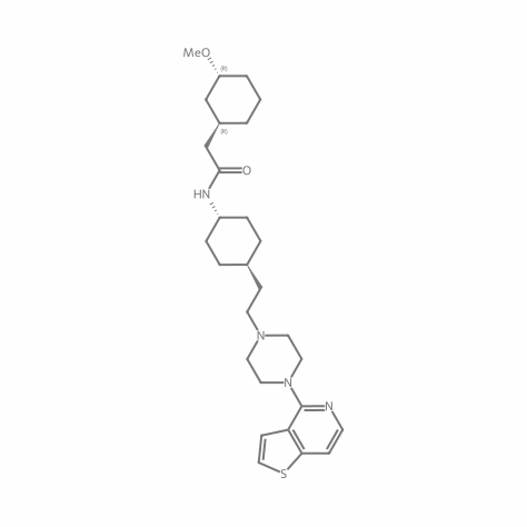 CO[C@@H]1CCC[C@@H](CC(=O)N[C@H]2CC[C@H](CCN3CCN(c4nccc5sccc45)CC3)CC2)C1